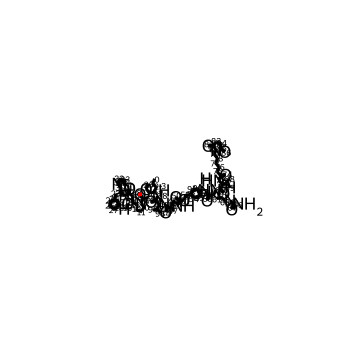 CC[C@H](C)[C@@H]([C@@H](CC(=O)N1CCC[C@H]1[C@H](OC)[C@@H](C)C(=O)N[C@@H](Cc1ccccc1)c1nccs1)OC)N(C)C(=O)[C@@H](NC(=O)C(C)(C)NC(=O)OCc1ccc(NC(=O)[C@H](CCCNC(N)=O)NC(=O)C(NC(=O)CCCCCN2C(=O)C=CC2=O)C(C)C)cc1)C(C)C